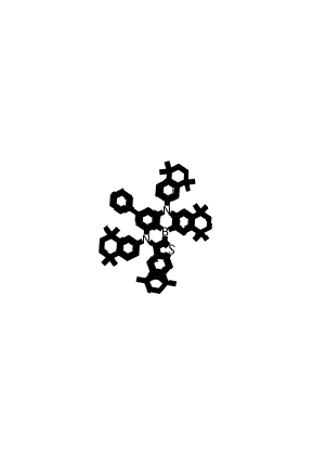 CC1(C)CCC(C)(C)c2cc(N3c4cc5c(cc4B4c6sc7cc8c(cc7c6N(c6ccc7c(c6)C(C)(C)CCC7(C)C)c6cc(-c7ccccc7)cc3c64)C3(C)CCC8(C)CC3)C(C)(C)CCC5(C)C)ccc21